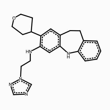 c1ccc2c(c1)CCc1cc(C3CCOCC3)c(NCCn3cncn3)cc1N2